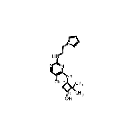 CC1(C)[C@@H](O)C[C@H]1Nc1nc(NCCn2cccc2)ncc1C#N